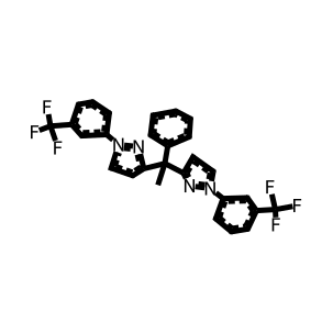 CC(c1ccccc1)(c1ccn(-c2cccc(C(F)(F)F)c2)n1)c1ccn(-c2cccc(C(F)(F)F)c2)n1